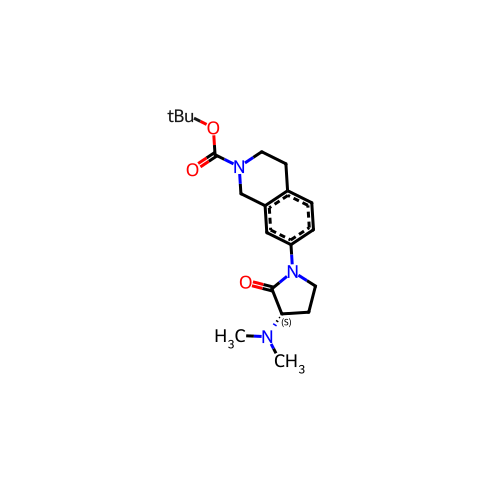 CN(C)[C@H]1CCN(c2ccc3c(c2)CN(C(=O)OC(C)(C)C)CC3)C1=O